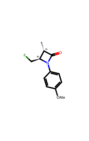 COc1ccc(N2C(=O)[C@@H](C)[C@@H]2CF)cc1